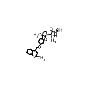 Cc1cc(COc2ccc(C3(C)CCN(C(C)C(=O)NO)C3=O)cc2)c2ccccc2n1